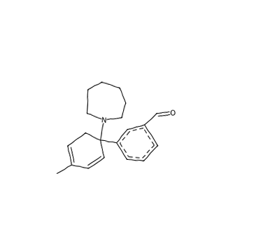 CC1=CCC(c2cccc(C=O)c2)(N2CCCCCC2)C=C1